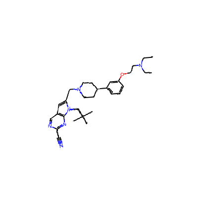 CCN(CC)CCOc1cccc(C2CCN(Cc3cc4cnc(C#N)nc4n3CC(C)(C)C)CC2)c1